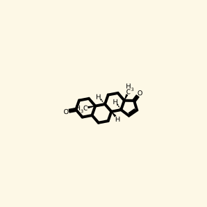 C[C@]12CCC(=O)CC1CC[C@@H]1[C@@H]2CC[C@]2(C)C(=O)C=C[C@@H]12